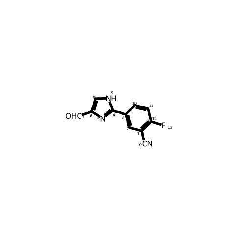 N#Cc1cc(-c2nc(C=O)c[nH]2)ccc1F